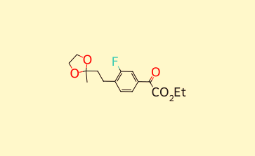 CCOC(=O)C(=O)c1ccc(CCC2(C)OCCO2)c(F)c1